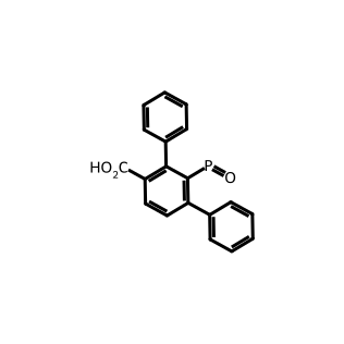 O=Pc1c(-c2ccccc2)ccc(C(=O)O)c1-c1ccccc1